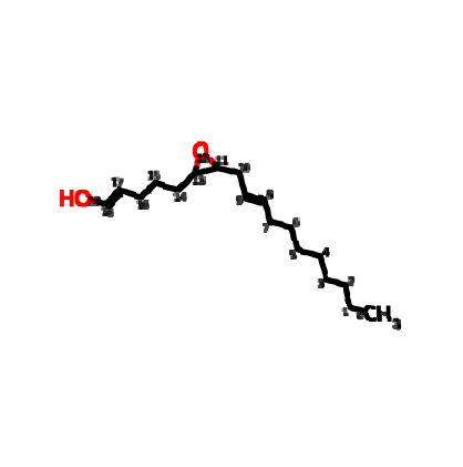 CCCCCCCCC=CCC1OC1CCCC=CO